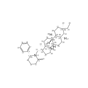 C=C1CCC[C@H](c2ccccc2)N1C[C@H]1CC[C@H]2[C@@H]3CC[C@@H]4C[C@](C)(CC)CC[C@@H]4[C@H]3CC[C@]12C